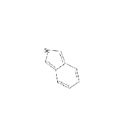 [c]1[se]cc2ccccc12